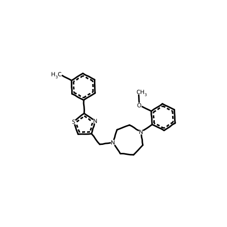 COc1ccccc1N1CCCN(Cc2csc(-c3cccc(C)c3)n2)CC1